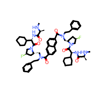 CN[C@@H](C)C(=O)N[C@H](C(=O)N1C[C@H](F)C[C@H]1CN(CCc1ccccc1)C(=O)c1ccc2cc(C(=O)N(CCc3ccccc3)C[C@@H]3C[C@@H](F)CN3C(=O)[C@@H](NC(=O)[C@H](C)NC)C3CCCCC3)ccc2c1)C1CCCCC1